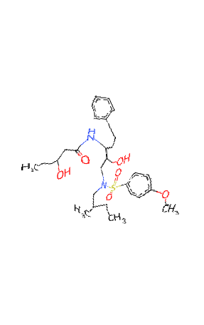 CCC(C)CN(CC(O)C(Cc1ccccc1)NC(=O)CC(O)CC)S(=O)(=O)c1ccc(OC)cc1